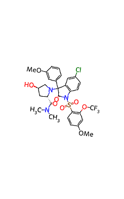 COc1cccc(C2(N3C[C@H](O)C[C@H]3C(=O)N(C)C)C(=O)N(S(=O)(=O)c3ccc(OC)cc3OC(F)(F)F)c3ccc(Cl)cc32)c1